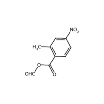 Cc1cc([N+](=O)[O-])ccc1C(=O)OC=O